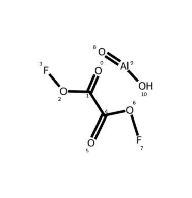 O=C(OF)C(=O)OF.[O]=[Al][OH]